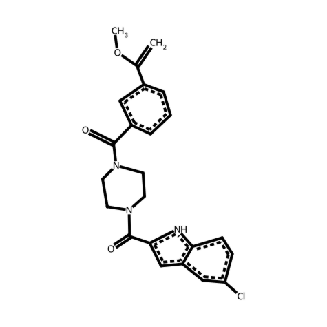 C=C(OC)c1cccc(C(=O)N2CCN(C(=O)c3cc4cc(Cl)ccc4[nH]3)CC2)c1